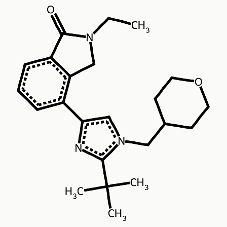 CCN1Cc2c(cccc2-c2cn(CC3CCOCC3)c(C(C)(C)C)n2)C1=O